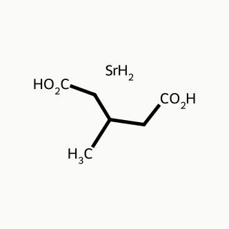 CC(CC(=O)O)CC(=O)O.[SrH2]